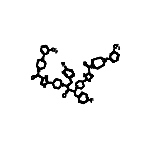 O=C(C(Cc1ccc(F)cc1)N1CCC(c2nc(C(=O)N3CCN(c4cccc(C(F)(F)F)c4)CC3)cs2)CC1)C(Cc1ccc(F)cc1)N1CCC(c2nc(C(=O)N3CCN(c4cccc(C(F)(F)F)c4)CC3)cs2)CC1